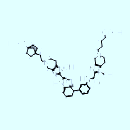 Cn1c(C(=O)NC2=CC=CC(c3cccc(NC(=O)c4nc5c(n4C)CCN(CCCCC(=O)O)C5)c3)C2(Cl)Cl)nc2c1CCN(CCC13CCC(C(=O)O)(CC1)C3)C2